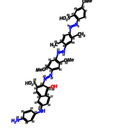 COc1ccc(N=Nc2cc(C)c(N=Nc3cc(OC)c(N=Nc4c(S(=O)(=O)O)cc5cc(Nc6ccc(N)cc6)ccc5c4O)cc3OC)cc2C)c(S(=O)(=O)O)c1